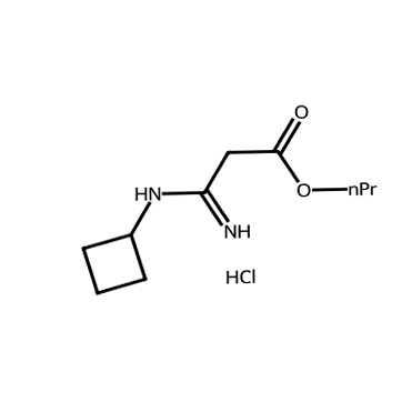 CCCOC(=O)CC(=N)NC1CCC1.Cl